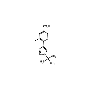 BC(B)(B)n1cc(-c2ccc(C(=O)O)cc2F)cn1